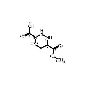 COC(=O)C1CNN(C(=O)O)NN1